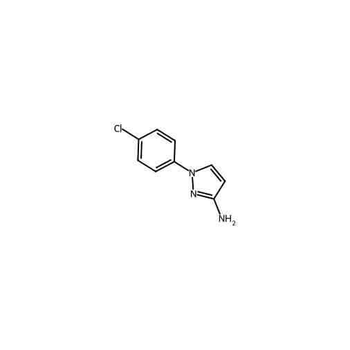 Nc1ccn(-c2ccc(Cl)cc2)n1